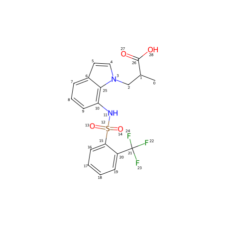 CC(Cn1ccc2cccc(NS(=O)(=O)c3ccccc3C(F)(F)F)c21)C(=O)O